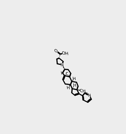 C[C@]12CC[C@H](N3CC[C@H](C(=O)O)C3)CC1=CC[C@@H]1[C@@H]2CC[C@]2(C)C(c3cccnc3)=CC[C@@H]12